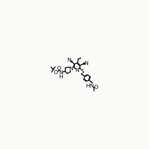 CCc1c(C#N)c(SCc2ccc(CNC(C)=O)cc2)nc(N2CCC(NC(=O)OC(C)(C)C)CC2)c1C#N